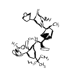 COc1c(NC(=O)c2ccc(C)c(N3C=C(C4CCOC4)NN3)c2)cc(C(C)(C)C)cc1NS(C)(=O)=O